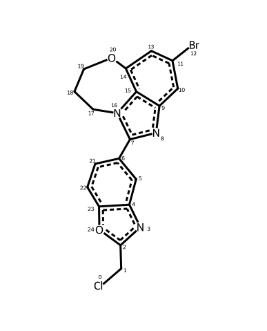 ClCc1nc2cc(-c3nc4cc(Br)cc5c4n3CCCO5)ccc2o1